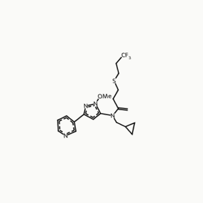 C=C(CCSCCC(F)(F)F)N(CC1CC1)c1cc(-c2cccnc2)nn1OC